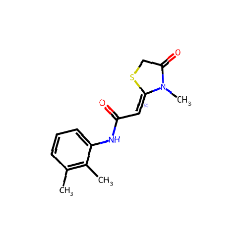 Cc1cccc(NC(=O)/C=C2\SCC(=O)N2C)c1C